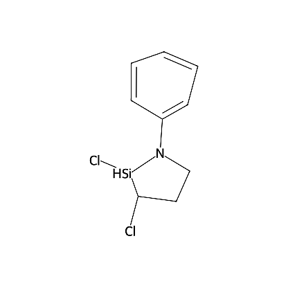 ClC1CCN(c2ccccc2)[SiH]1Cl